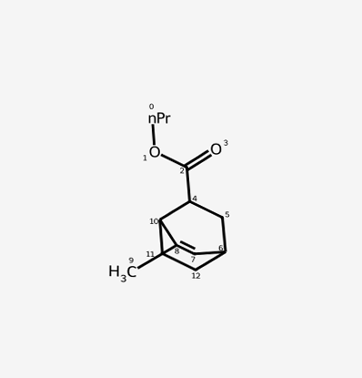 CCCOC(=O)C1CC2C=C(C)C1CC2